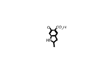 CC1Cc2cc(C(=O)O)c(Cl)cc2N1